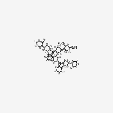 Cc1ccccc1-c1ccc2c(c1)c1ccccc1n2-c1ccc(C#N)c(-c2cc(-c3ccc(C#N)cc3C(F)(F)F)ccc2-n2c3ccccc3c3cc(-c4ccccc4C)ccc32)c1